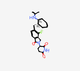 CC(C)N[C@H]1CCCC[C@@H]1Cc1ccc2c(c1F)CN(C1CCC(=O)NC1=O)C2=O